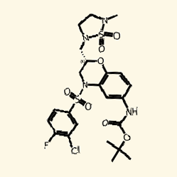 CN1CCN(C[C@H]2CN(S(=O)(=O)c3ccc(F)c(Cl)c3)c3cc(NC(=O)OC(C)(C)C)ccc3O2)S1(=O)=O